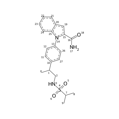 CC(CNS(=O)(=O)C(C)C)c1ccc(-n2c(C(N)=O)cc3c[c]ccc32)cc1